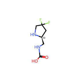 O=C(O)NC[C@@H]1CC(F)(F)CN1